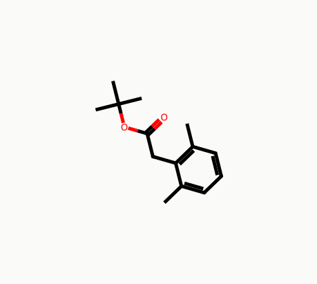 Cc1cccc(C)c1CC(=O)OC(C)(C)C